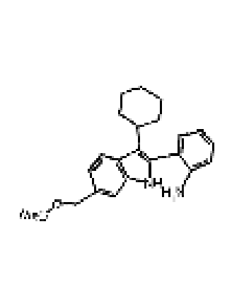 COOCc1ccc2c(C3CCCCC3)c(-c3ccccc3N)[nH]c2c1